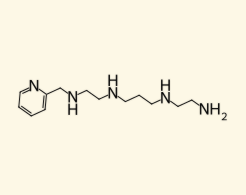 NCCNCCCNCCNCc1ccccn1